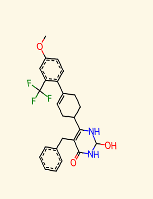 COc1ccc(C2=CCC(C3=C(Cc4ccccc4)C(=O)NC(O)N3)CC2)c(C(F)(F)F)c1